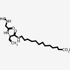 C=C[C@H](NC(=O)CNC=O)C(=O)NCCCCCCCCCCCCC(=O)O